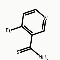 CCc1ccncc1C(N)=S